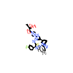 CCc1nc2ccc(-c3cnc(N4CCN(C(=O)C5(CO)CC5)CC4)nc3)cn2c1N(C)c1nc(-c2ccc(F)cc2)c(C#N)s1